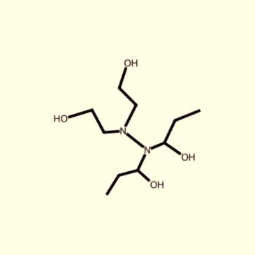 CCC(O)N(C(O)CC)N(CCO)CCO